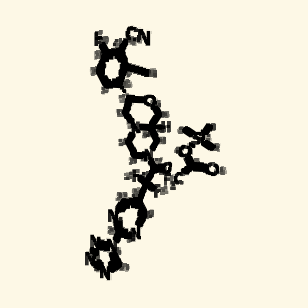 C[Si](C)(C)OC(=O)C(F)(F)F.Cc1c([C@H]2CN3CCN(C(=O)C(F)(F)c4cnc(-n5cnnn5)nc4)C[C@H]3CO2)ccc(F)c1C#N